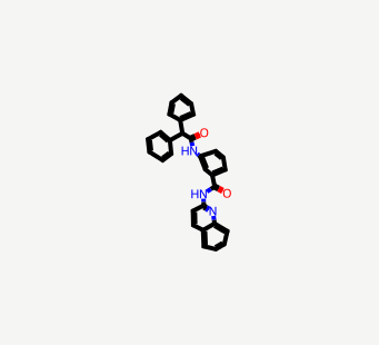 O=C(Nc1ccc2ccccc2n1)c1cccc(NC(=O)C(c2ccccc2)c2ccccc2)c1